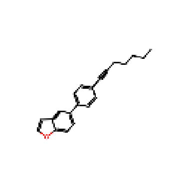 CCCCCC#Cc1ccc(-c2ccc3occc3c2)cc1